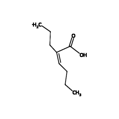 [CH2]CCC(=CCCC)C(=O)O